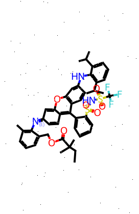 CCC(C)(C)C(=O)OCc1cccc(C)c1/N=c1\ccc2c(-c3ccccc3S(=O)(=O)NS(=O)(=O)C(F)(F)F)c3ccc(Nc4c(C(C)C)cccc4C(C)C)cc3oc-2c1